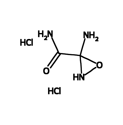 Cl.Cl.NC(=O)C1(N)NO1